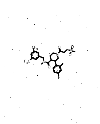 Cc1cc(F)ccc1C1CN(C(=O)CCS(C)(=O)=O)CCC1C(=O)N(C)Cc1cc(C(F)(F)F)cc(C(F)(F)F)c1